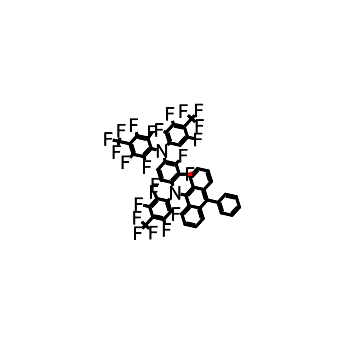 Fc1cc(N(c2cc(F)c(C(F)(F)F)c(F)c2F)c2c(F)c(F)c(C(F)(F)F)c(F)c2F)c(F)c(F)c1N(c1c(F)c(F)c(C(F)(F)F)c(F)c1F)c1c2ccccc2c(-c2ccccc2)c2ccccc12